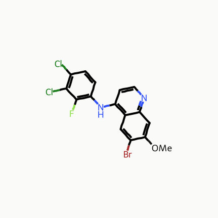 COc1cc2nccc(Nc3ccc(Cl)c(Cl)c3F)c2cc1Br